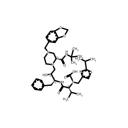 CC(C)c1nc(CN(C(=O)O)[C@H](C(=O)N[C@@H](Cc2ccccc2)[C@@H](O)CN2CCN(Cc3ccc4c(c3)OCO4)C[C@H]2C(=O)NC(C)(C)C)C(C)C)cs1